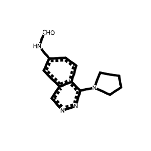 O=CNc1ccc2c(N3CCCC3)nncc2c1